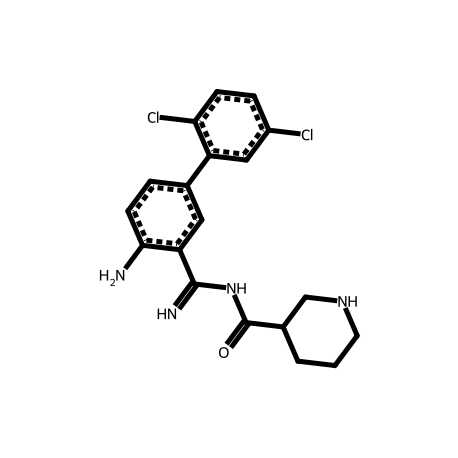 N=C(NC(=O)C1CCCNC1)c1cc(-c2cc(Cl)ccc2Cl)ccc1N